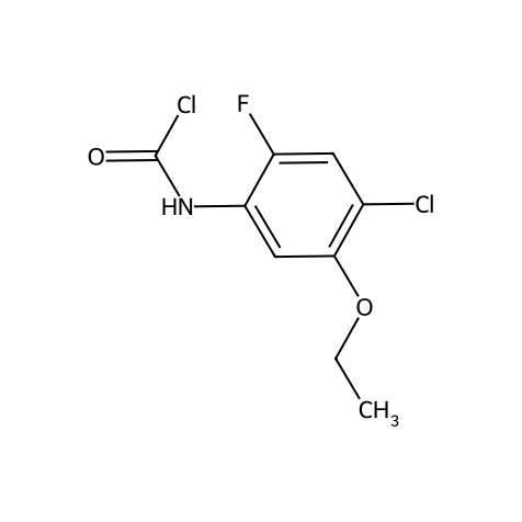 CCOc1cc(NC(=O)Cl)c(F)cc1Cl